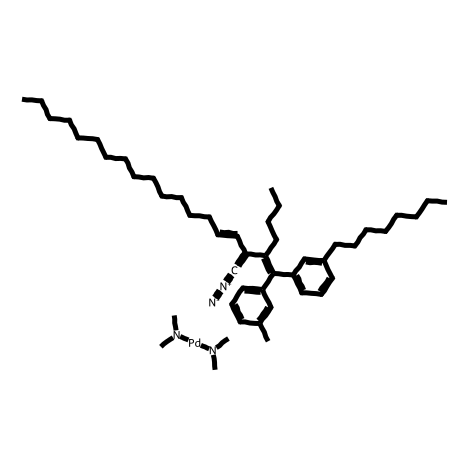 CCCCCCCCCCCCCCC=CC(=C=[N+]=[N-])C(CCCC)=C(c1cccc(C)c1)c1cccc(CCCCCCCC)c1.C[N](C)[Pd][N](C)C